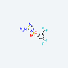 N#CCN(CC(N)=S)S(=O)(=O)Cc1cc(C(F)F)cc(C(F)F)c1